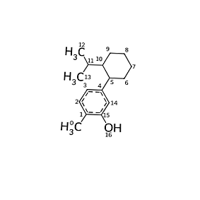 Cc1ccc(C2CCCCC2C(C)C)cc1O